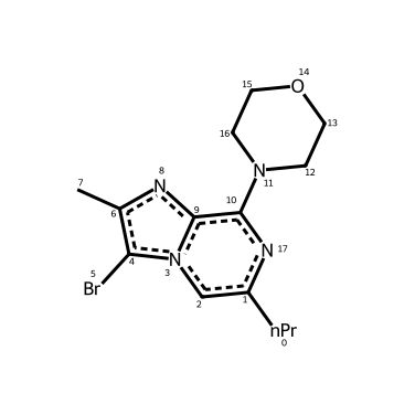 CCCc1cn2c(Br)c(C)nc2c(N2CCOCC2)n1